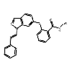 CCCNC(=O)c1ccccc1Sc1ccc2cnn(C=Cc3ccccn3)c2c1